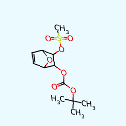 CC(C)(C)OC(=O)OC1C2C=CC(O2)C1OS(C)(=O)=O